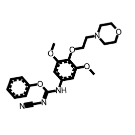 COc1cc(N/C(=N/C#N)Oc2ccccc2)cc(OC)c1OCCN1CCOCC1